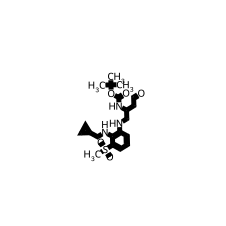 CC(C)(C)OC(=O)NC(CC=O)CNc1cccc(S(C)(=O)=O)c1NCC1CC1